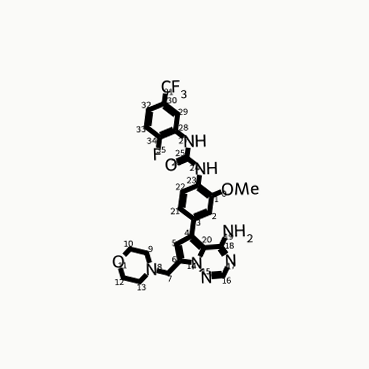 COc1cc(-c2cc(CN3CCOCC3)n3ncnc(N)c23)ccc1NC(=O)Nc1cc(C(F)(F)F)ccc1F